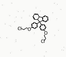 ClCCOc1ccc(C2(c3ccc(OCCCl)cc3)c3ccccc3C3C=CC=CC32)cc1